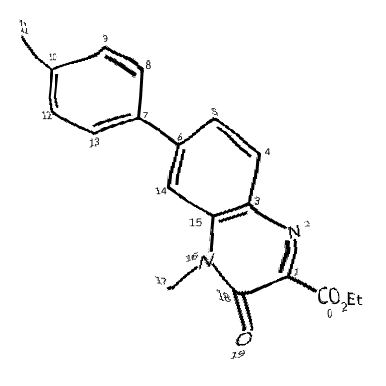 CCOC(=O)c1nc2ccc(-c3ccc(C)cc3)cc2n(C)c1=O